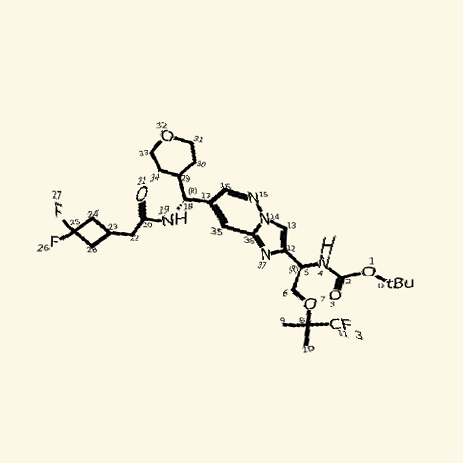 CC(C)(C)OC(=O)N[C@@H](COC(C)(C)C(F)(F)F)c1cn2ncc([C@H](NC(=O)CC3CC(F)(F)C3)C3CCOCC3)cc2n1